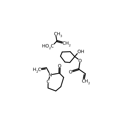 C=C(C)C(=O)O.C=CC(=O)OC1(O)CCCCC1.C=CN1CCCCCC1=O